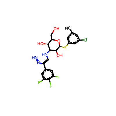 N#Cc1cc(Cl)cc(S[C@@H]2OC(CO)[C@H](O)C(N/C=C(\N=N)c3cc(F)c(F)c(F)c3)C2O)c1